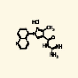 Cc1nn(-c2cccc3ncccc23)cc1C(=O)NC(=N)N.Cl